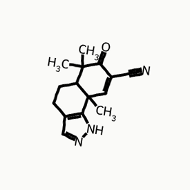 CC1(C)C(=O)C(C#N)=CC2(C)c3[nH]ncc3CCC12